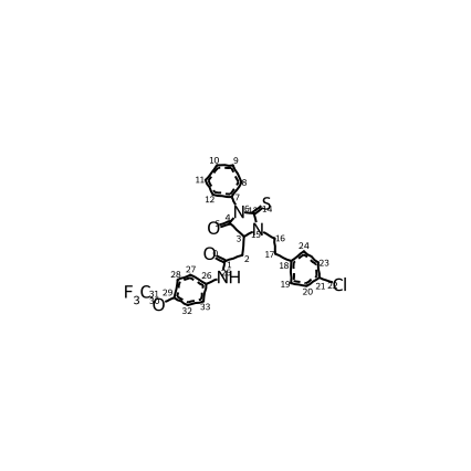 O=C(CC1C(=O)N(c2ccccc2)C(=S)N1CCc1ccc(Cl)cc1)Nc1ccc(OC(F)(F)F)cc1